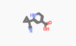 N#CC1(C2=CC(C(=O)O)=CCN2)CC1